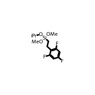 CO[Si](CCc1c(F)cc(F)cc1F)(OC)OC(C)C